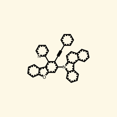 C(#Cc1c(-n2c3ccccc3c3c4ccccc4ccc32)cc2oc3ccccc3c2c1-c1ccccn1)c1ccccc1